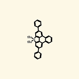 CC(C)(C)[Si]1(C(C)(C)C)c2cc(-c3ccccc3)cc3c4ccccc4c4cc(-c5ccccc5)cc1c4c23